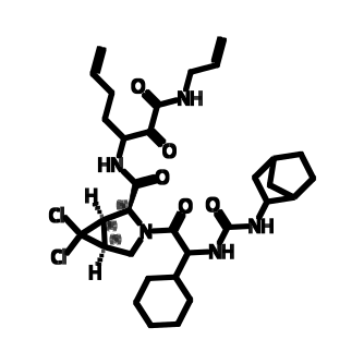 C=CCCC(NC(=O)[C@@H]1[C@H]2[C@@H](CN1C(=O)C(NC(=O)NC1CC3CCC1C3)C1CCCCC1)C2(Cl)Cl)C(=O)C(=O)NCC=C